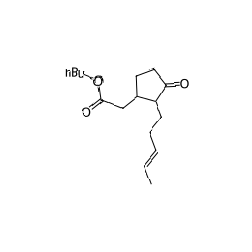 CC=CCCC1C(=O)CCC1CC(=O)OCCCC